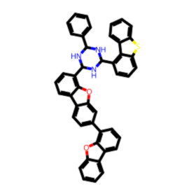 c1ccc(C2NC(c3cccc4c3oc3cc(-c5cccc6c5oc5ccccc56)ccc34)NC(c3cccc4sc5ccccc5c34)N2)cc1